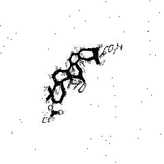 CCC(=O)O[C@H]1CC[C@@]2(C)C(CC[C@]3(C)[C@@H]2C(=O)C=C2[C@@H]4C[C@@](C)(C(=O)O)CC[C@]4(C)CC[C@]23C)C1(C)C